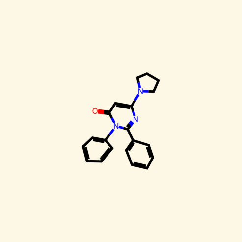 O=c1cc(N2CCCC2)nc(-c2ccccc2)n1-c1ccccc1